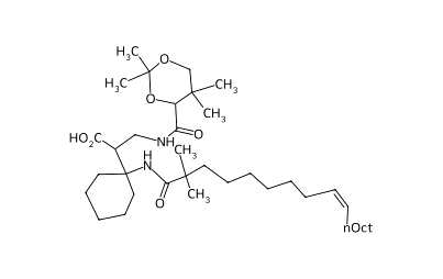 CCCCCCCC/C=C\CCCCCCC(C)(C)C(=O)NC1(C(CNC(=O)C2OC(C)(C)OCC2(C)C)C(=O)O)CCCCC1